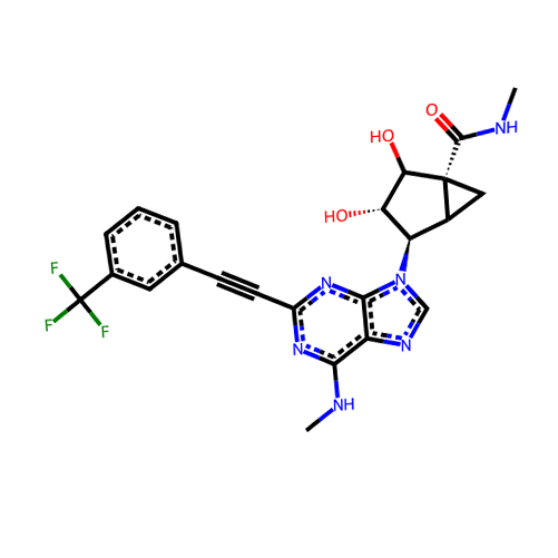 CNC(=O)[C@]12CC1[C@@H](n1cnc3c(NC)nc(C#Cc4cccc(C(F)(F)F)c4)nc31)[C@H](O)C2O